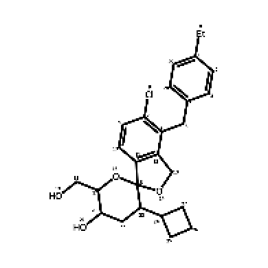 CCc1ccc(Cc2c(Cl)ccc3c2COC32OC(CO)C(O)CC2C2CCC2)cc1